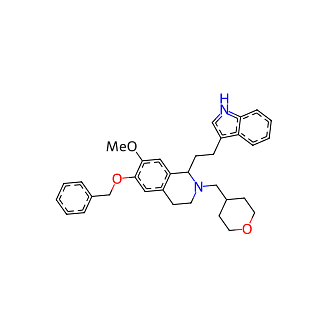 COc1cc2c(cc1OCc1ccccc1)CCN(CC1CCOCC1)C2CCc1c[nH]c2ccccc12